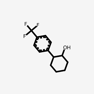 OC1CCCCC1c1ccc(C(F)(F)F)cc1